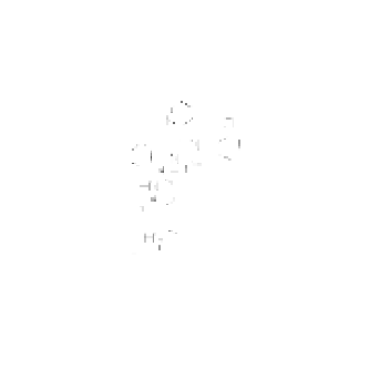 CC(C)[C@H](NC(=O)[C@@H](NC(=O)[C@H](Cc1cccc(Cl)c1)NC(=O)c1ccccn1)c1ccccc1)C(=O)C(F)(F)C(=O)NCC(F)(F)F